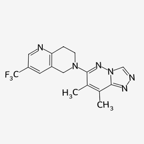 Cc1c(N2CCc3ncc(C(F)(F)F)cc3C2)nn2cnnc2c1C